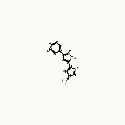 Cn1cnc(-c2cc(-c3cccnc3)no2)n1